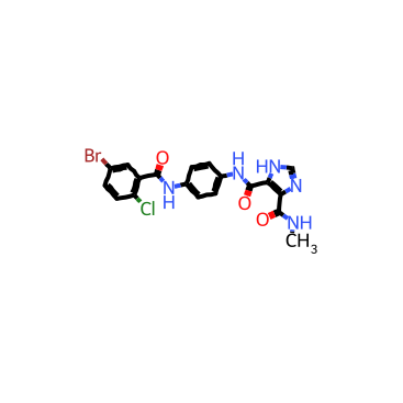 CNC(=O)c1nc[nH]c1C(=O)Nc1ccc(NC(=O)c2cc(Br)ccc2Cl)cc1